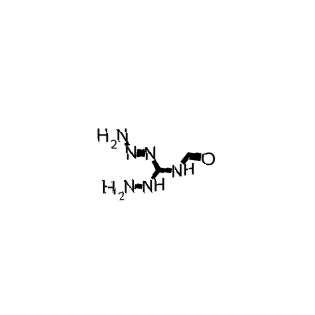 NN=NC(NN)NC=O